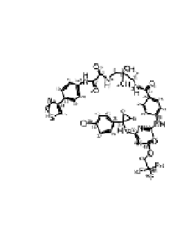 CC(C)(CNC(=O)C(=O)Nc1ccc(-c2csnn2)cc1)CNC(=O)c1ccc(Nc2nc(NC3(c4ccc(Cl)cc4)CC3)nc(OCC(F)(F)F)n2)cc1